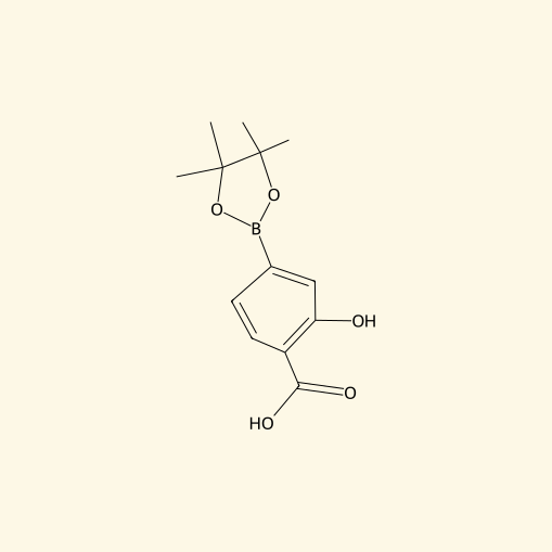 CC1(C)OB(c2ccc(C(=O)O)c(O)c2)OC1(C)C